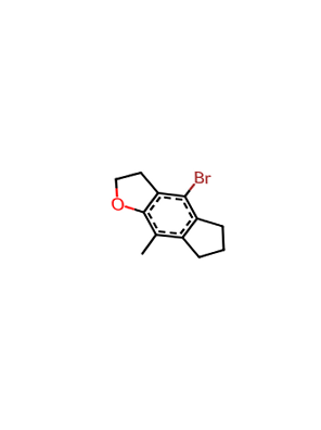 Cc1c2c(c(Br)c3c1OCC3)CCC2